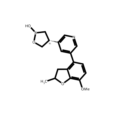 COc1ccc(-c2cncc([C@@H]3COB(O)C3)c2)c2c1OC(C)C2